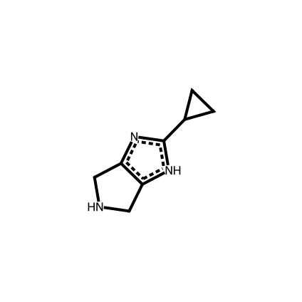 C1NCc2[nH]c(C3CC3)nc21